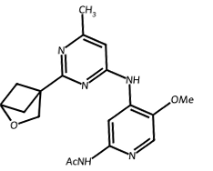 COc1cnc(NC(C)=O)cc1Nc1cc(C)nc(C23COC(C2)C3)n1